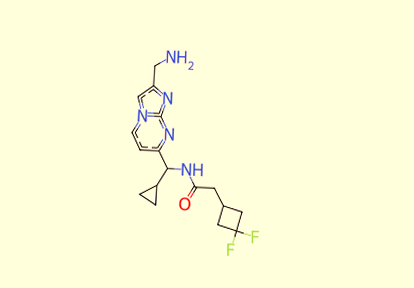 NCc1cn2ccc(C(NC(=O)CC3CC(F)(F)C3)C3CC3)nc2n1